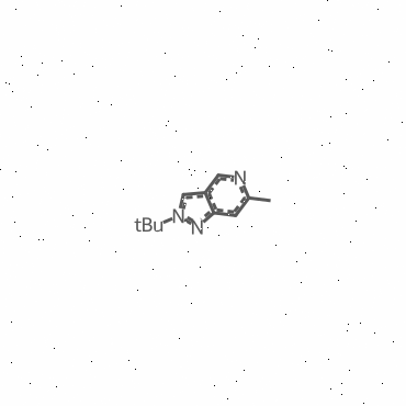 Cc1cc2nn(C(C)(C)C)cc2cn1